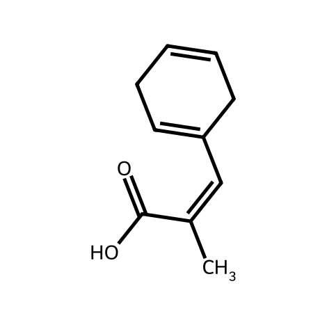 CC(=CC1=CCC=CC1)C(=O)O